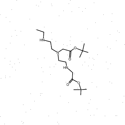 CCNCCN(CCNCC(=O)OC(C)(C)C)CC(=O)OC(C)(C)C